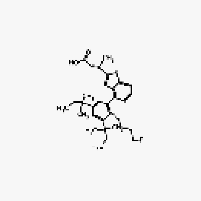 CCC(C)(C)c1cc(-c2cccc3sc(C(C)=CC(=O)O)cc23)c(OCCCF)c(C(C)(C)CC)c1